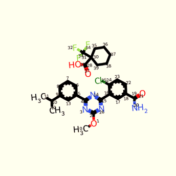 COc1nc(-c2cccc(C(C)C)c2)nc(-c2cc(C(N)=O)ccc2Cl)n1.O=C(O)C1(C(F)(F)F)CCCCC1